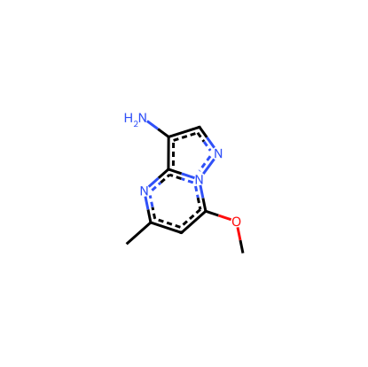 COc1cc(C)nc2c(N)cnn12